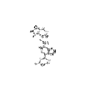 CC1C=C(c2cnc(NCc3c(F)ccc4c3CCO4)n3cnnc23)CCO1